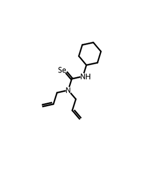 C=CCN(CC=C)C(=[Se])NC1CCCCC1